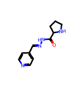 O=C(NN=Cc1ccncc1)C1CCCN1